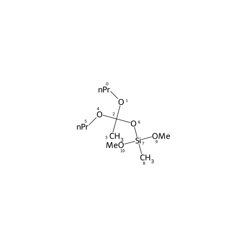 CCCOC(C)(OCCC)O[Si](C)(OC)OC